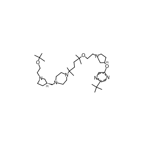 CC(C)(C)OCCN1CC[C@H](CN2CCN(C(C)(C)CCC(C)(C)OCCN3CC[C@@H](Oc4cnc(C(C)(C)C)cn4)C3)CC2)C1